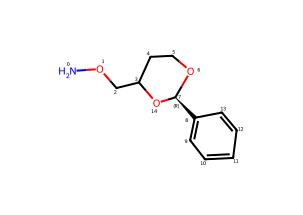 NOCC1CCO[C@@H](c2ccccc2)O1